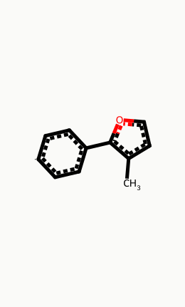 Cc1ccoc1-c1cc[c]cc1